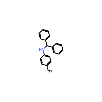 CC(C)(C)c1ccc(NC(c2ccccc2)c2ccccc2)cc1